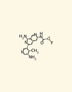 Cc1c(N)cncc1-c1cc2cc(NC(=O)[C@H]3CC3F)ncc2c(N)n1